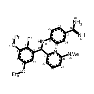 CCOc1cc(OC(C)C)c(F)c(C(Nc2ccc(C(=N)N)cc2)c2cccc(NC)n2)c1